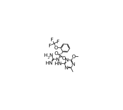 COc1nc(C)nc(NN(C(=N)N)S(=O)(=O)c2ccccc2OC(F)(F)F)n1